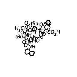 COC[C@H](c1ccccc1)N(CC1(C(=O)N[C@H]2C[C@@H](C(=O)N[C@@H]3CCCc4ccccc43)N(C(=O)[C@@H](NC(=O)[C@H](C)N(C)C(=O)OC(C)(C)C)C(C)(C)C)C2)CC1)C(=O)C1Cc2ccccc2CN1C(=O)O